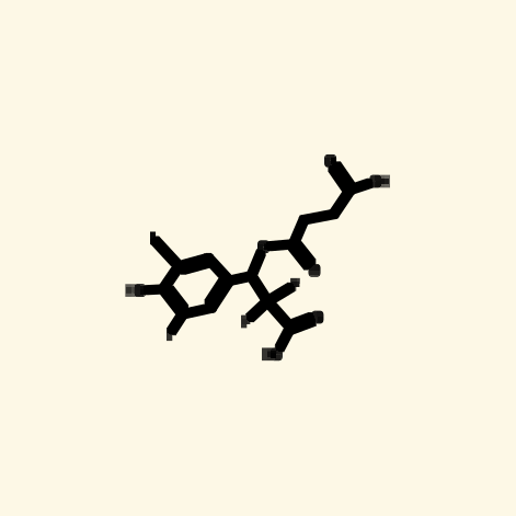 O=C(O)CCC(=O)OC(c1cc(I)c(O)c(I)c1)C(F)(F)C(=O)O